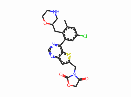 Cc1cc(Cl)cc(-c2ncnc3cc(CN4C(=O)COC4=O)sc23)c1CC1CNCCO1